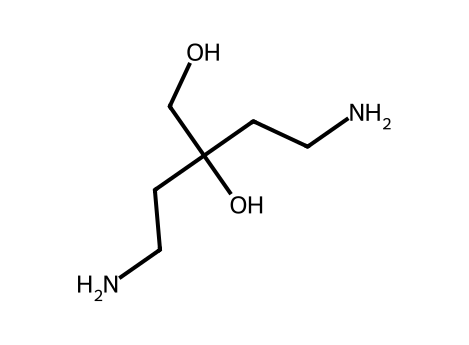 NCCC(O)(CO)CCN